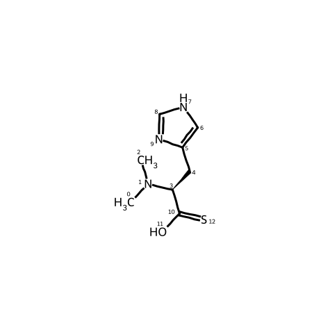 CN(C)[C@@H](Cc1c[nH]cn1)C(O)=S